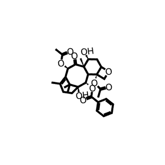 CC(=O)O[C@H]1C(=O)[C@@]2(C)C([C@H](OC(=O)c3ccccc3)[C@]3(O)CCC(C)=C1C3(C)C)[C@]1(OC(C)=O)COC1C[C@@H]2O